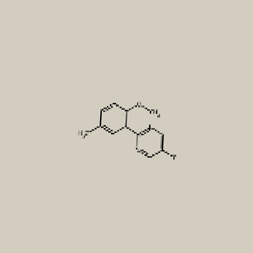 [CH2]c1ccc(OC)c(-c2ncc(F)cn2)c1